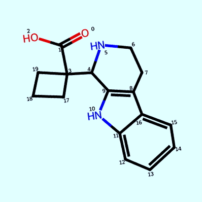 O=C(O)C1(C2NCCc3c2[nH]c2ccccc32)CCC1